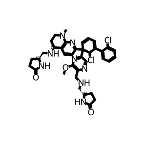 COc1nc(C2(c3ccc4c(n3)N(C)CC[C@@H]4NC[C@@H]3CCC(=O)N3)C=CC=C(c3ccccc3Cl)C2Cl)cnc1CNC[C@@H]1CCC(=O)N1